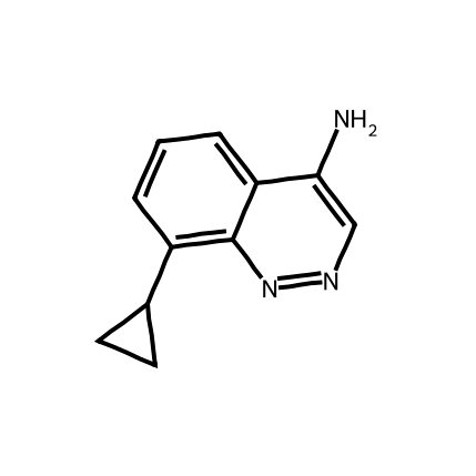 Nc1cnnc2c(C3CC3)cccc12